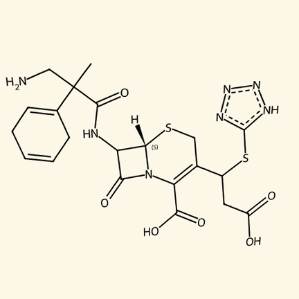 CC(CN)(C(=O)NC1C(=O)N2C(C(=O)O)=C(C(CC(=O)O)Sc3nnn[nH]3)CS[C@@H]12)C1=CCC=CC1